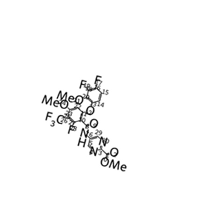 COC(=O)c1ncc(NC(=O)c2c(Oc3ccc(F)c(F)c3OC)cc(OC)c(C(F)(F)F)c2F)cn1